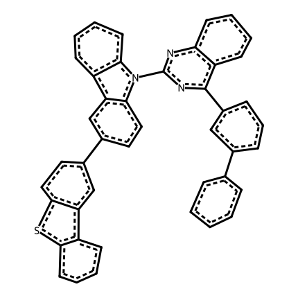 c1ccc(-c2cccc(-c3nc(-n4c5ccccc5c5cc(-c6ccc7sc8ccccc8c7c6)ccc54)nc4ccccc34)c2)cc1